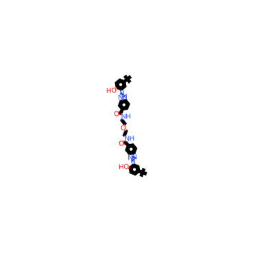 CC(C)(C)c1ccc(O)c(-n2n3c4ccc(C(=O)NCCOCCNC(=O)c5ccc6c(c5)n5n(-c7cc(C(C)(C)C)ccc7O)n65)cc4n23)c1